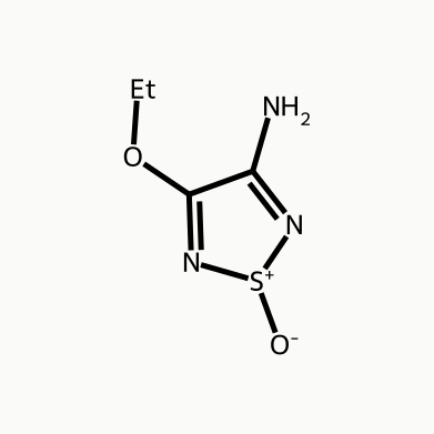 CCOc1n[s+]([O-])nc1N